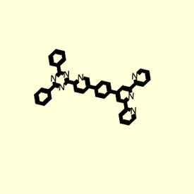 c1ccc(-c2nc(-c3ccccc3)nc(-c3ccc(-c4ccc(-c5cc(-c6ccccn6)nc(-c6ccccn6)c5)cc4)cn3)n2)cc1